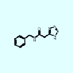 O=C(Cc1nnn[nH]1)NCc1c[c]ccc1